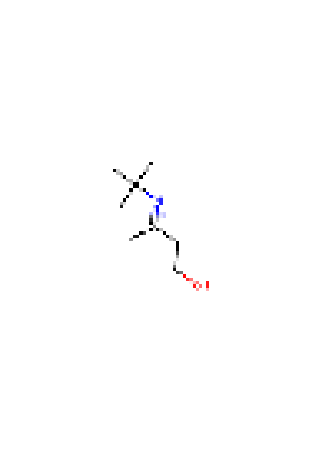 C/C(CCO)=N\C(C)(C)C